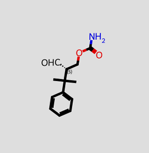 CC(C)(c1ccccc1)[C@H](C=O)COC(N)=O